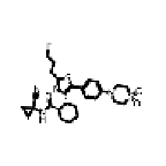 N#CC1(NC(=O)[C@@H]2CCCC[C@H]2c2nc(CCCF)sc2-c2ccc(N3CCS(=O)(=O)CC3)cc2)CC1